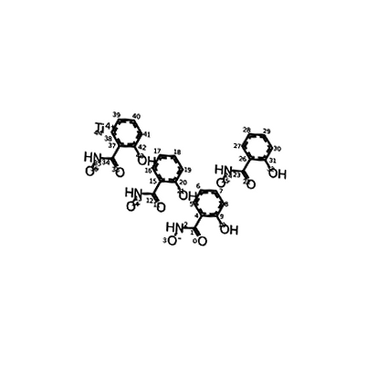 O=C(N[O-])c1ccccc1O.O=C(N[O-])c1ccccc1O.O=C(N[O-])c1ccccc1O.O=C(N[O-])c1ccccc1O.[Ti+4]